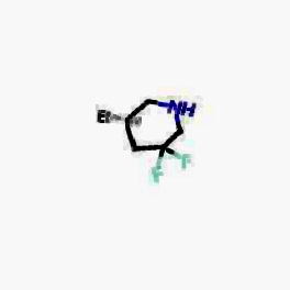 CC[C@@H]1CNCC(F)(F)C1